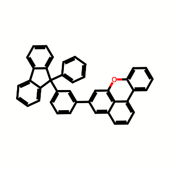 c1ccc(C2(c3cccc(-c4cc5c6c(cccc6c4)-c4ccccc4O5)c3)c3ccccc3-c3ccccc32)cc1